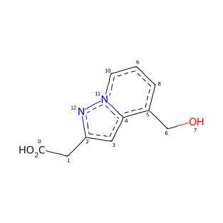 O=C(O)Cc1cc2c(CO)cccn2n1